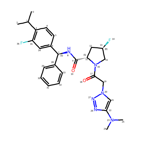 CC(C)c1ccc([C@@H](NC(=O)[C@@H]2C[C@@H](F)CN2C(=O)Cn2cc(N(C)C)nn2)c2ccccc2)cc1F